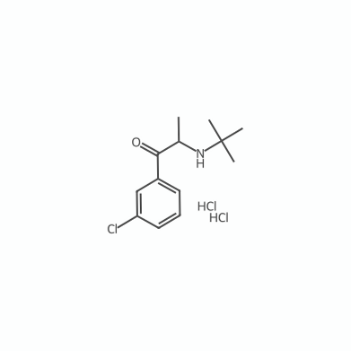 CC(NC(C)(C)C)C(=O)c1cccc(Cl)c1.Cl.Cl